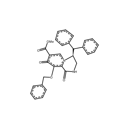 COC(=O)c1cn2c(c(OCc3ccccc3)c1=O)C(=O)NC[C@@H]2C(c1ccccc1)c1ccccc1